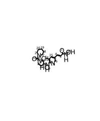 Cl.O=C(C=Cc1cnc(N[C@@H]2CCN(C(=O)N3CCCCC3)C2)c(Cl)c1)NO